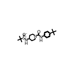 CC(C)(C)c1ccc(NC(=O)N2CCC(N[S+]([O-])C(C)(C)C)CC2)cc1